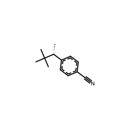 C[C@H](c1ccc(C#N)cc1)C(C)(C)C